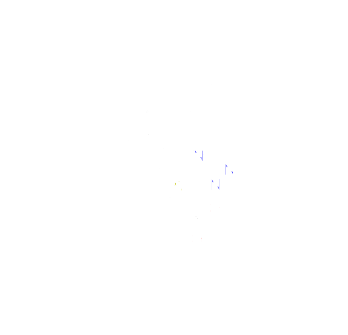 CCOC(=O)CSc1nnc(Cc2ccc3ccccc3c2)n1CC(c1ccccc1)c1ccccc1